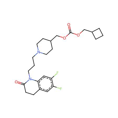 O=C(OCC1CCC1)OCC1CCN(CCCN2C(=O)CCc3cc(F)c(F)cc32)CC1